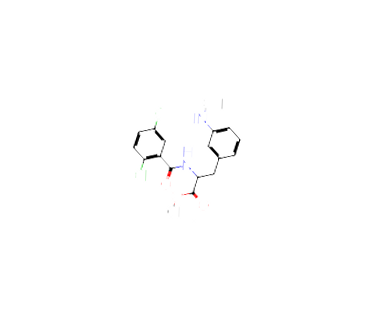 CNc1cccc(CC(NC(=O)c2cc(Cl)ccc2Cl)C(=O)OC)c1